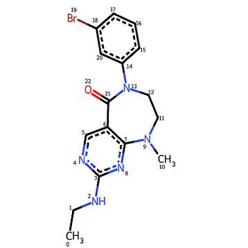 CCNc1ncc2c(n1)N(C)CCN(c1cccc(Br)c1)C2=O